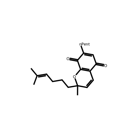 CCCCCC1=CC(=O)C2=C(OC(C)(CCCC=C(C)C)C=C2)C1=O